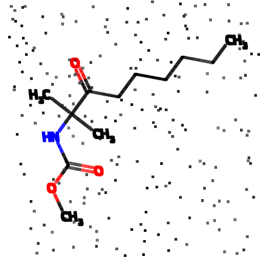 CCCCCCC(=O)C(C)(C)NC(=O)OC